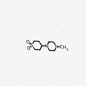 CN1CCN(C2CCS(=O)(=O)CC2)CC1